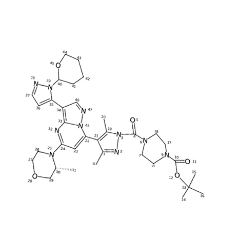 Cc1nn(C(=O)N2CCN(C(=O)OC(C)(C)C)CC2)c(C)c1-c1cc(N2CCOC[C@H]2C)nc2c(-c3ccnn3C3CCCCO3)cnn12